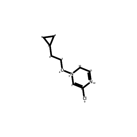 ClC1=CN(OCCC2CC2)CC=N1